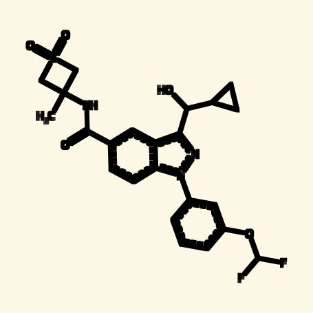 CC1(NC(=O)c2ccc3c(c2)c(C(O)C2CC2)nn3-c2cccc(OC(F)F)c2)CS(=O)(=O)C1